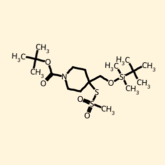 CC(C)(C)OC(=O)N1CCC(CO[Si](C)(C)C(C)(C)C)(SS(C)(=O)=O)CC1